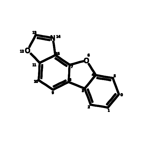 c1ccc2c(c1)oc1c2ccc2ocnc21